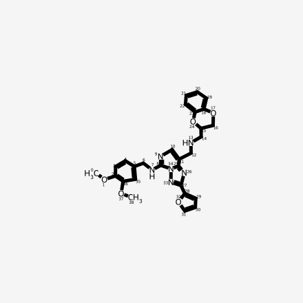 COc1ccc(CNc2ncc(CNCC3COc4ccccc4O3)c3nc(-c4ccco4)nn23)cc1OC